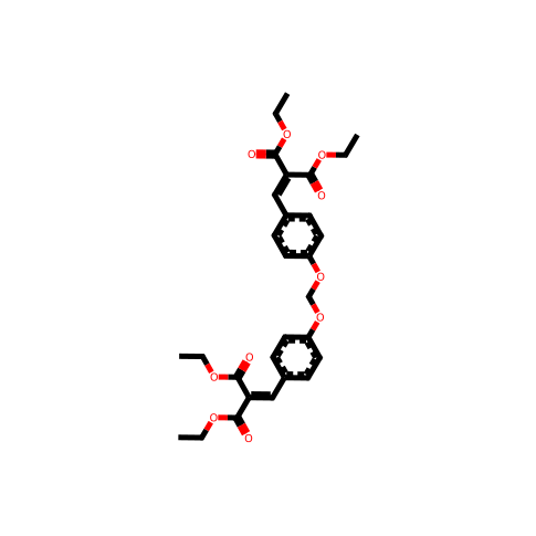 CCOC(=O)C(=Cc1ccc(OCOc2ccc(C=C(C(=O)OCC)C(=O)OCC)cc2)cc1)C(=O)OCC